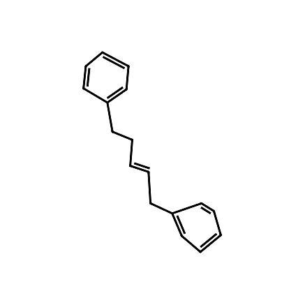 C(=CCc1ccccc1)CCc1ccccc1